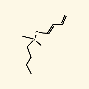 C=CC=CO[Si](C)(C)CCCC